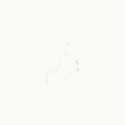 O=C1NCCc2c1oc1c(Cl)cccc1c2=O